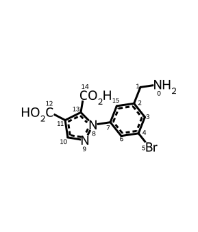 NCc1cc(Br)cc(-n2ncc(C(=O)O)c2C(=O)O)c1